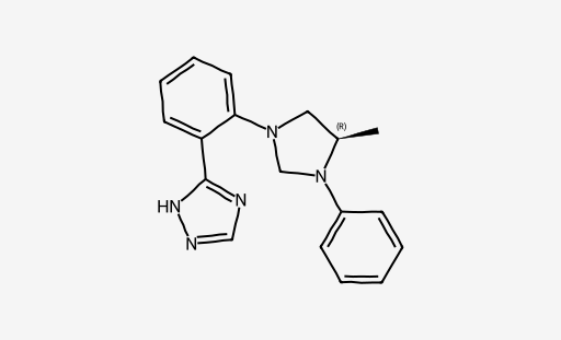 C[C@@H]1CN(c2ccccc2-c2ncn[nH]2)CN1c1ccccc1